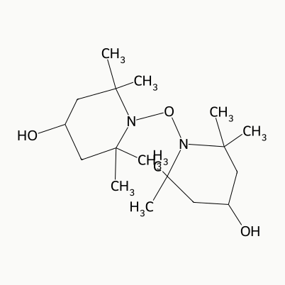 CC1(C)CC(O)CC(C)(C)N1ON1C(C)(C)CC(O)CC1(C)C